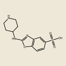 O=S(=O)(O)c1ccc2oc(NC3CCNCC3)nc2c1